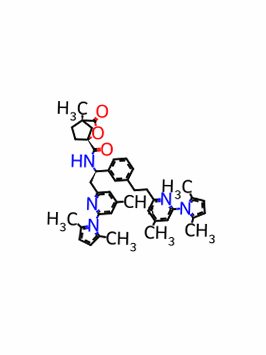 Cc1cc(CCc2cccc([C@@H](Cc3cc(C)cc(-n4c(C)ccc4C)n3)NC(=O)[C@@]34CC[C@@](C)(C3)C(=O)O4)c2)nc(-n2c(C)ccc2C)c1